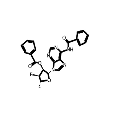 [CH2][C@H]1O[C@@H](n2cnc3c(NC(=O)c4ccccc4)ncnc32)[C@H](OC(=O)c2ccccc2)[C@@H]1F